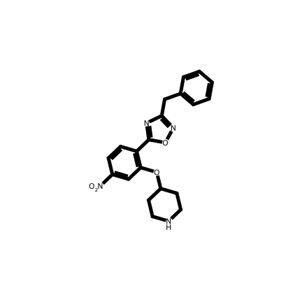 O=[N+]([O-])c1ccc(-c2nc(Cc3ccccc3)no2)c(OC2CCNCC2)c1